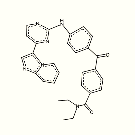 CCN(CC)C(=O)c1ccc(C(=O)c2ccc(Nc3nccc(-c4cnc5ccccn45)n3)cc2)cc1